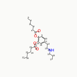 CCCCCC(=O)Oc1ccc(CCNCCC)cc1OC(=O)CCCCC